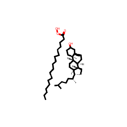 CC(C)CCC[C@@H](C)[C@H]1CC[C@H]2[C@@H]3CC=C4CC(O)CC[C@]4(C)[C@H]3CC[C@]12C.CCCCCCCCCCCCCCCCCC(=O)OO